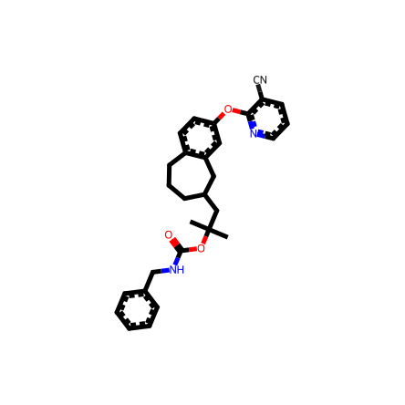 CC(C)(CC1CCCc2ccc(Oc3ncccc3C#N)cc2C1)OC(=O)NCc1ccccc1